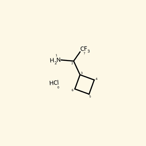 Cl.NC(C1CCC1)C(F)(F)F